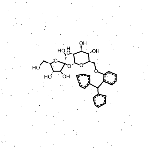 OC[C@H]1O[C@@](CO)(O[C@H]2O[C@H](COc3ccccc3C(c3ccccc3)c3ccccc3)[C@@H](O)[C@H](O)[C@H]2O)[C@@H](O)[C@@H]1O